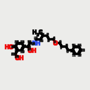 CC(CCCOCCCCc1ccccc1)CCNCC(O)c1ccc(O)c(CO)c1